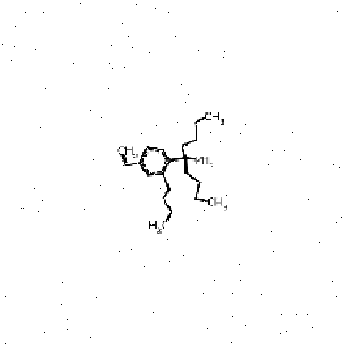 C=Cc1ccc(C(P)(CCCC)CCCC)c(CCCC)c1